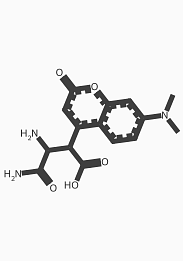 CN(C)c1ccc2c(C(C(=O)O)C(N)C(N)=O)cc(=O)oc2c1